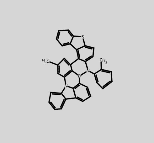 Cc1cc2c3c(c1)-n1c4ccccc4c4cccc(c41)B3N(c1ccccc1C)c1ccc3sc4ccccc4c3c1-2